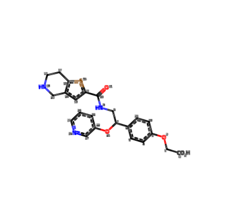 O=C(O)COc1ccc(C(CNC(=O)c2cc3c(s2)CCNC3)Oc2cccnc2)cc1